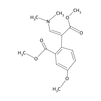 COC(=O)C(=CN(C)C)c1ccc(OC)cc1C(=O)OC